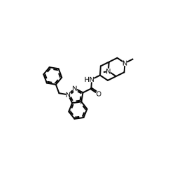 CN1CC2CC(NC(=O)c3nn(Cc4ccccc4)c4ccccc34)CC(C1)N2C